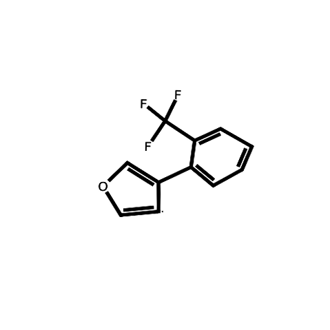 FC(F)(F)c1ccccc1-c1[c]coc1